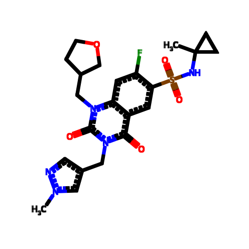 Cn1cc(Cn2c(=O)c3cc(S(=O)(=O)NC4(C)CC4)c(F)cc3n(CC3CCOC3)c2=O)cn1